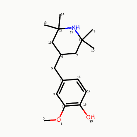 COc1cc(CC2CC(C)(C)NC(C)(C)C2)ccc1O